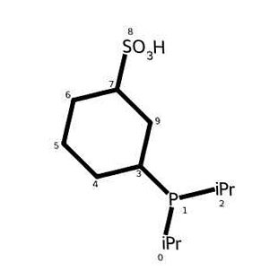 CC(C)P(C(C)C)C1CCCC(S(=O)(=O)O)C1